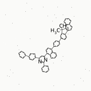 CC1(C)c2cc(-c3ccc(-c4ccc(-c5cc(-c6ccc(-c7ccccc7)cc6)nc(-c6ccccc6)n5)c5ccccc45)cc3)ccc2-c2ccc3ccccc3c21